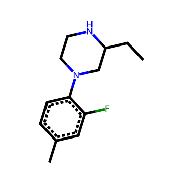 CCC1CN(c2ccc(C)cc2F)CCN1